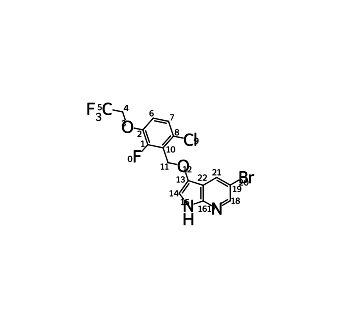 Fc1c(OCC(F)(F)F)ccc(Cl)c1COc1c[nH]c2ncc(Br)cc12